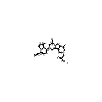 CC1CN(CC(N)=O)Cc2c1nn1c2CN(c2ccc(C#N)n3ncc(F)c23)C[C@H]1C